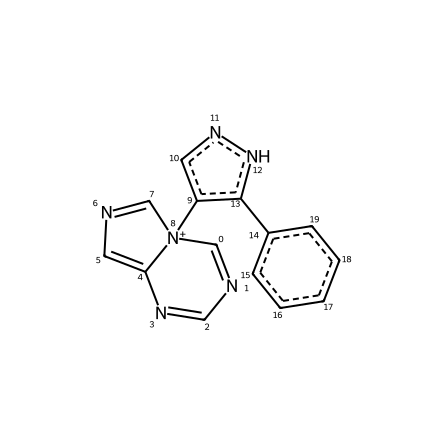 C1=NC=NC2=CN=C[N+]12c1cn[nH]c1-c1ccccc1